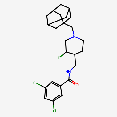 O=C(NCC1CCN(CC23CC4CC(CC(C4)C2)C3)CC1F)c1cc(Cl)cc(Cl)c1